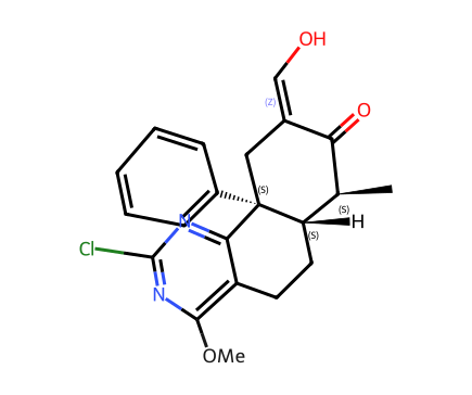 COc1nc(Cl)nc2c1CC[C@H]1[C@H](C)C(=O)/C(=C\O)C[C@]21c1ccccc1